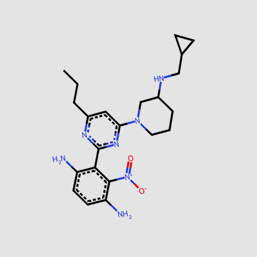 CCCc1cc(N2CCCC(NCC3CC3)C2)nc(-c2c(N)ccc(N)c2[N+](=O)[O-])n1